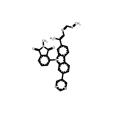 C=N/C=N\C=C(/C)c1ccc2c3ccc(-c4cncnc4)cc3n(-c3cccc4c3C(=O)N(C)C4=O)c2c1